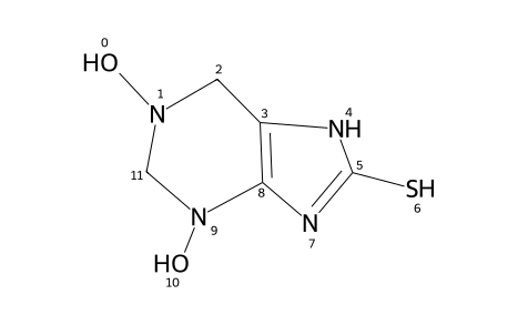 ON1Cc2[nH]c(S)nc2N(O)C1